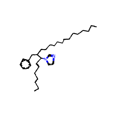 CCCCCCCCCCCCCCC(Cc1ccccc1)C(CCCCCCC)n1ccnc1